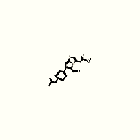 COC(=O)Cc1csc2cc(-c3ccc(CC(C)C)cc3)c(C=O)n12